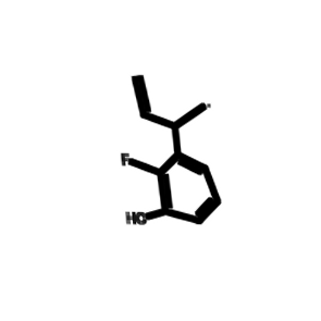 [CH2]C(C=C)c1cccc(O)c1F